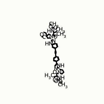 COC(=O)N[C@H](C(=O)N1CCC[C@H]1c1ncc(-c2ccc(C#Cc3ccc4nc([C@@H]5CC6(CCOCC6)CN5C(=O)[C@@H](NC(=O)OC)C(C)C)[nH]c4c3)cc2)[nH]1)C(C)C